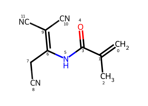 C=C(C)C(=O)NC(CC#N)=C(C#N)C#N